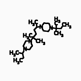 CCC(C)N1CCN(C(C)(C)CCC(C)N2CCN(C(C)(C)CC)CC2)CC1